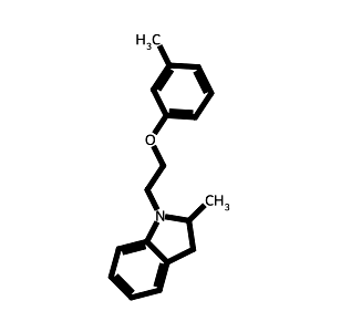 Cc1cccc(OCCN2c3ccccc3CC2C)c1